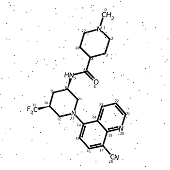 CN1CCC(C(=O)N[C@@H]2C[C@H](C(F)(F)F)CN(c3ccc(C#N)c4ncccc34)C2)CC1